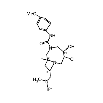 COc1ccc(NC(=O)N2C[C@H]3C[C@@H](CN(C)C(C)C)N3CC(O)[C@H](O)C2)cc1